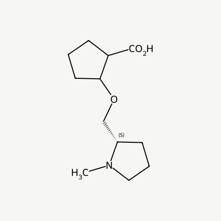 CN1CCC[C@H]1COC1CCCC1C(=O)O